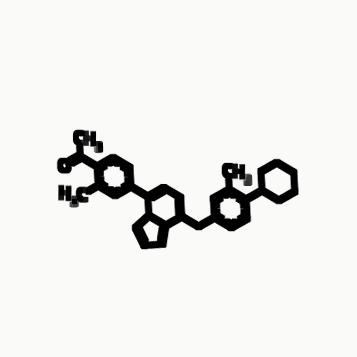 CC(=O)c1ccc(C2=CC=C(Cc3ccc(C4CCCCC4)c(C)c3)C3=CC=CC32)cc1C